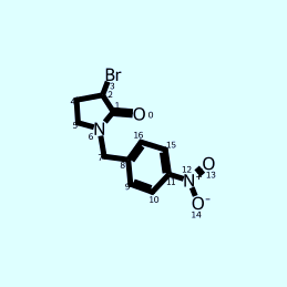 O=C1C(Br)CCN1Cc1ccc([N+](=O)[O-])cc1